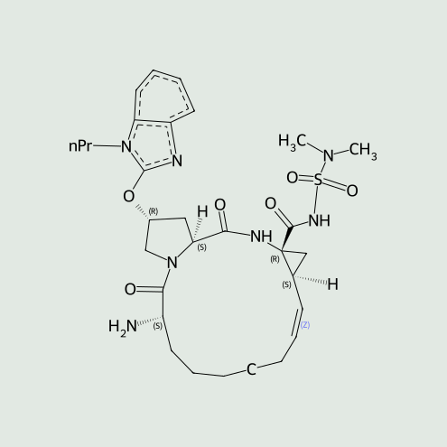 CCCn1c(O[C@@H]2C[C@H]3C(=O)N[C@]4(C(=O)NS(=O)(=O)N(C)C)C[C@H]4/C=C\CCCCC[C@H](N)C(=O)N3C2)nc2ccccc21